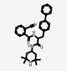 CC1(C)CC(NC(=O)C(Cc2ccc(-c3ccccc3)cc2)NC(=O)c2ccccc2C#N)CC(C)(C)N1